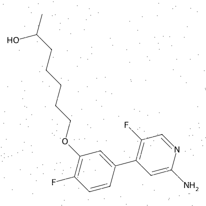 CC(O)CCCCCOc1cc(-c2cc(N)ncc2F)ccc1F